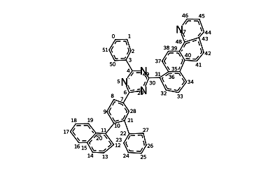 c1ccc(-c2nc(-c3ccc(-c4cccc5ccccc45)c(-c4ccccc4)c3)nc(-c3cccc4c3ccc3c4ccc4cccnc43)n2)cc1